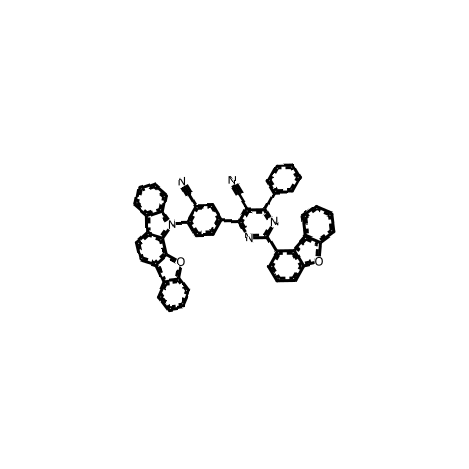 N#Cc1cc(-c2nc(-c3cccc4oc5ccccc5c34)nc(-c3ccccc3)c2C#N)ccc1-n1c2ccccc2c2ccc3c4ccccc4oc3c21